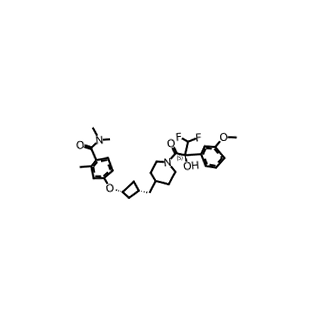 COc1cccc([C@](O)(C(=O)N2CCC(C[C@H]3C[C@@H](Oc4ccc(C(=O)N(C)C)c(C)c4)C3)CC2)C(F)F)c1